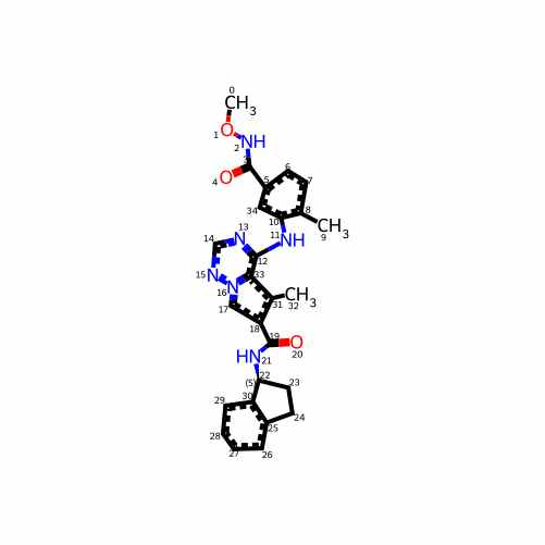 CONC(=O)c1ccc(C)c(Nc2ncnn3cc(C(=O)N[C@H]4CCc5ccccc54)c(C)c23)c1